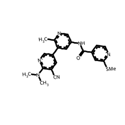 CSc1cc(C(=O)Nc2cnc(C)c(-c3cnc(N(C)C)c(C#N)c3)c2)ccn1